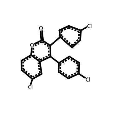 O=c1oc2ccc(Cl)cc2c(-c2ccc(Cl)cc2)c1-c1ccc(Cl)cc1